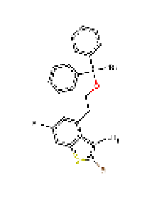 CCc1cc(CCO[Si](c2ccccc2)(c2ccccc2)C(C)(C)C)c2c(C)c(Br)sc2c1